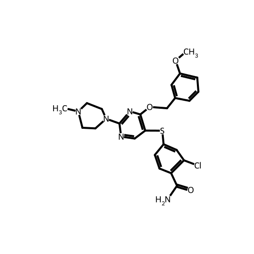 COc1cccc(COc2nc(N3CCN(C)CC3)ncc2Sc2ccc(C(N)=O)c(Cl)c2)c1